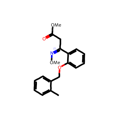 CO/N=C(/CC(=O)OC)c1ccccc1OCc1ccccc1C